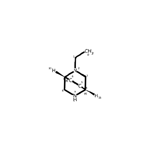 CCN1C[C@H]2CC[C@@H]1CN2